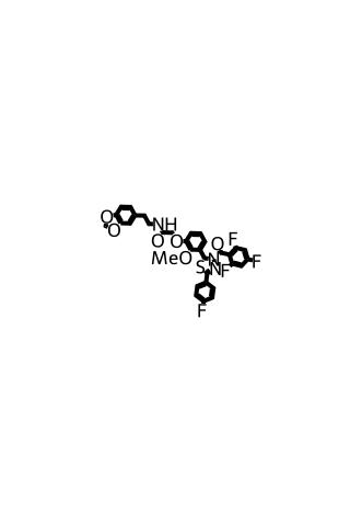 COc1c(OCC(=O)NCCc2ccc3c(c2)OCO3)cccc1C1SC(c2ccc(F)cc2)=NN1C(=O)c1c(F)cc(F)cc1F